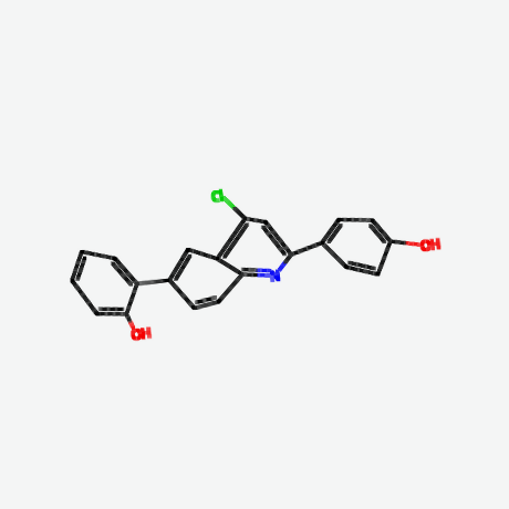 Oc1ccc(-c2cc(Cl)c3cc(-c4ccccc4O)ccc3n2)cc1